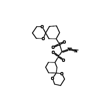 [N-]=[N+]=C(S(=O)(=O)C1CCCC2(C1)OCCCO2)S(=O)(=O)C1CCCC2(C1)OCCCO2